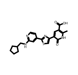 Cc1[nH]c(=O)c(-c2csc(-c3ccnc(NCC4CCCC4)c3)n2)cc1C(=O)O